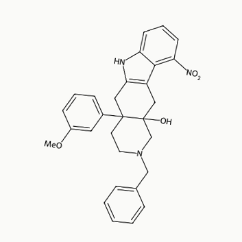 COc1cccc(C23CCN(Cc4ccccc4)CC2(O)Cc2c([nH]c4cccc([N+](=O)[O-])c24)C3)c1